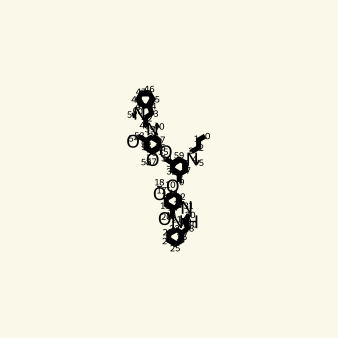 CCCCN(C)c1cc(COc2cc3c(cc2OC)C(=O)N2c4ccccc4C[C@H]2C=N3)cc(COc2cc(N(C)CC3Cc4ccccc4N3C)c(C=O)cc2OC)c1